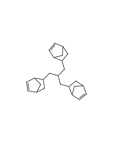 C1=CC2CC1CC2CC(CC1CC2C=CC1C2)CC1CC2C=CC1C2